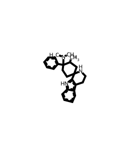 CC1CC2(CCC1(c1ccccc1)N(C)C)NCCc1c2[nH]c2ccccc12